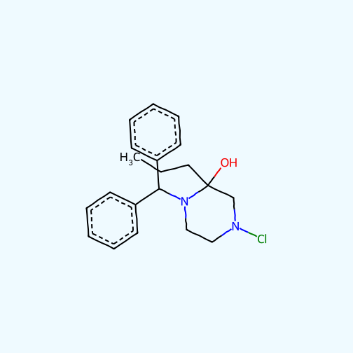 CCCC1(O)CN(Cl)CCN1C(c1ccccc1)c1ccccc1